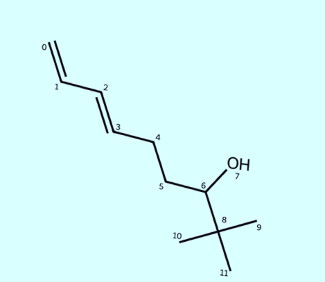 C=C/C=C/CCC(O)C(C)(C)C